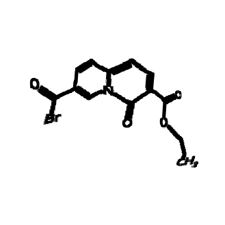 CCOC(=O)c1ccc2ccc(C(=O)Br)cn2c1=O